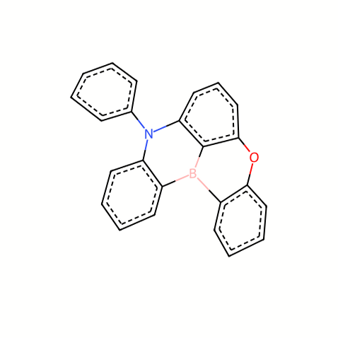 c1ccc(N2c3ccccc3B3c4ccccc4Oc4cccc2c43)cc1